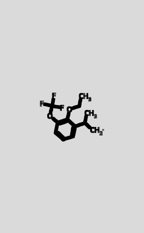 [CH2]C(C)c1cccc(OC(F)(F)F)c1OCC